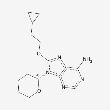 Nc1ncnc2c1nc(OCCC1CC1)n2[C@H]1CCCCO1